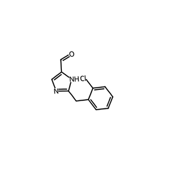 O=Cc1cnc(Cc2ccccc2Cl)[nH]1